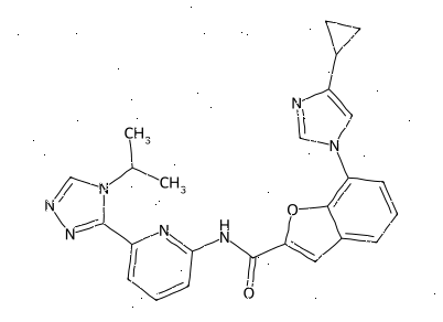 CC(C)n1cnnc1-c1cccc(NC(=O)c2cc3cccc(-n4cnc(C5CC5)c4)c3o2)n1